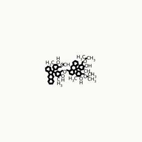 COCc1cc(C2(c3cc(C)c(O)c(COCc4cccc5c4Cc4ccccc4C5(c4cc(C)c(O)c(COC(C)C)c4)c4cc(C)c(O)c(COC(C)C)c4)c3)c3ccccc3-c3cc4ccccc4cc32)cc(C)c1O